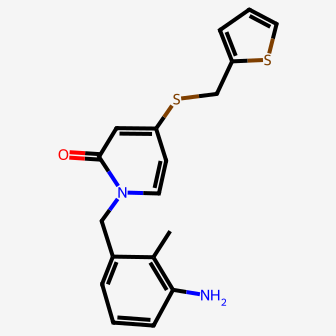 Cc1c(N)cccc1Cn1ccc(SCc2cccs2)cc1=O